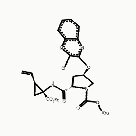 C=C[C@@H]1C[C@]1(NC(=O)[C@@H]1C[C@@H](Oc2nc3ccccc3nc2Cl)CN1C(=O)OC(C)(C)C)C(=O)OCC